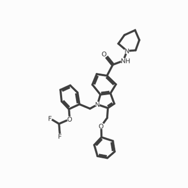 O=C(NN1CCCCC1)c1ccc2c(c1)cc(COc1ccccc1)n2Cc1ccccc1OC(F)F